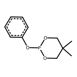 CC1(C)COP(Oc2ccccc2)OC1